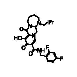 CC(C)CN1CCCCN2C(=O)c3c(O)c(=O)c(C(=O)NCc4ccc(F)cc4F)cn3CC12